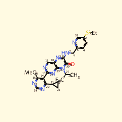 CCSc1ccc(CNc2nc3cnc(-c4c(OC)ncnc4C4CC4)nc3n([C@@H](C)C(F)(F)F)c2=O)nc1